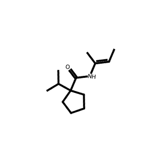 C/C=C(\C)NC(=O)C1(C(C)C)CCCC1